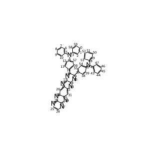 c1ccc(N(c2ccccc2)c2ccc(-c3nc4nc5cc6nc7nccnc7nc6cc5nc4nc3-c3ccc(N(c4ccccc4)c4ccccc4)cc3)cc2)cc1